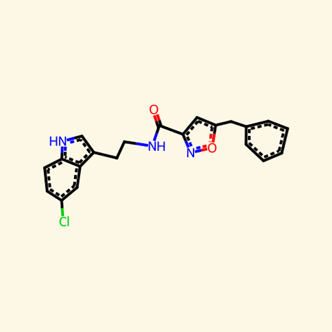 O=C(NCCc1c[nH]c2ccc(Cl)cc12)c1cc(Cc2ccccc2)on1